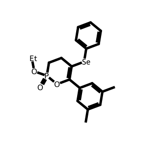 CCOP1(=O)CCC([Se]c2ccccc2)=C(c2cc(C)cc(C)c2)O1